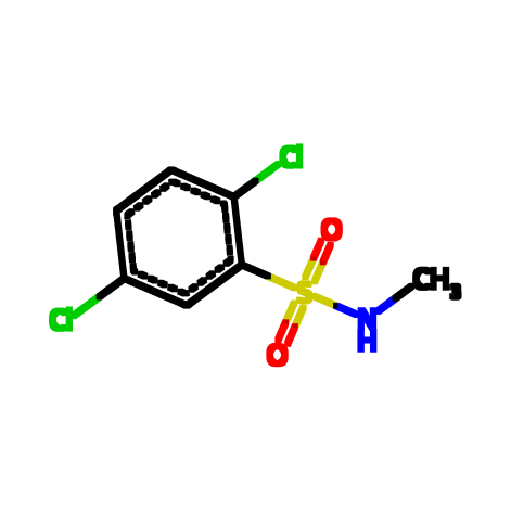 CNS(=O)(=O)c1cc(Cl)ccc1Cl